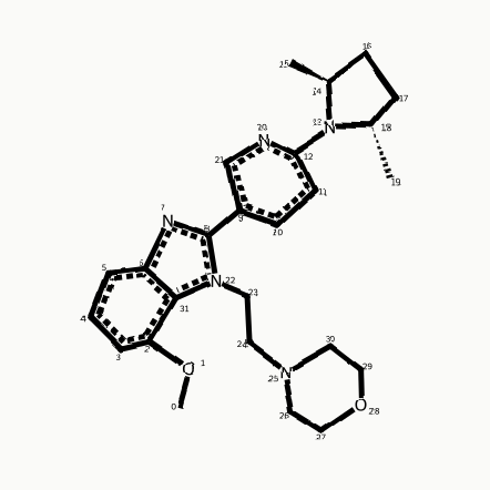 COc1cccc2nc(-c3ccc(N4[C@@H](C)CC[C@@H]4C)nc3)n(CCN3CCOCC3)c12